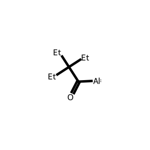 CCC(CC)(CC)[C](=O)[Al]